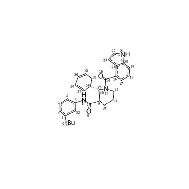 CC(C)(C)c1cccc(NC(=O)C2CCCN(C(=O)c3cccc4[nH]ccc34)[C@H]2C2C=CC=CC2)c1